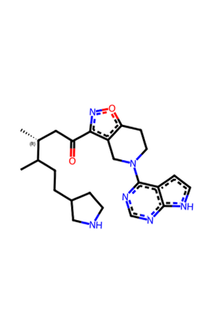 CC(CCC1CCNC1)[C@H](C)CC(=O)c1noc2c1CN(c1ncnc3[nH]ccc13)CC2